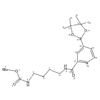 CC(C)(C)OC(=O)NCCCCNC(=O)c1cc(B2OC(C)(C)C(C)(C)O2)ccn1